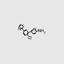 Nc1ccc(-c2cc(-c3nccs3)ccc2Cl)cn1